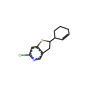 Clc1cc2c(cn1)CC(C1C=CCCC1)S2